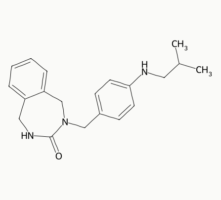 CC(C)CNc1ccc(CN2Cc3ccccc3CNC2=O)cc1